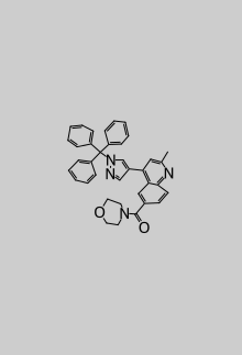 Cc1cc(-c2cnn(C(c3ccccc3)(c3ccccc3)c3ccccc3)c2)c2cc(C(=O)N3CCOCC3)ccc2n1